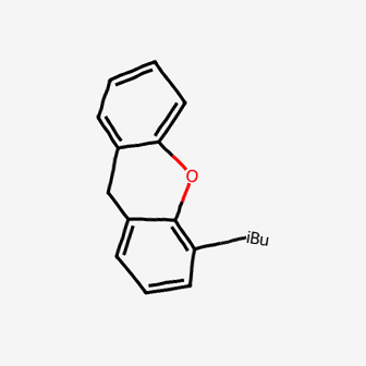 CCC(C)c1cccc2c1Oc1ccccc1C2